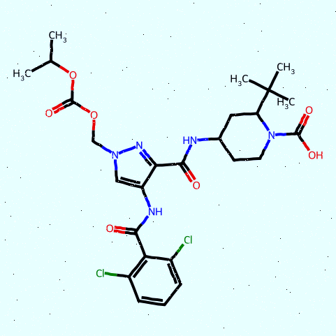 CC(C)OC(=O)OCn1cc(NC(=O)c2c(Cl)cccc2Cl)c(C(=O)NC2CCN(C(=O)O)C(C(C)(C)C)C2)n1